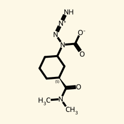 CN(C)C(=O)[C@H]1CCCC(N(N=[N+]=N)C(=O)[O-])C1